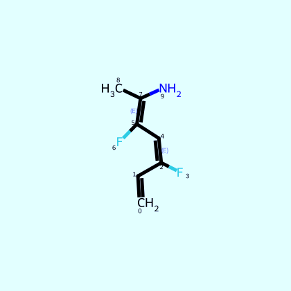 C=C/C(F)=C\C(F)=C(\C)N